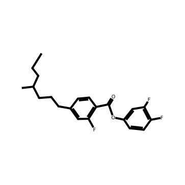 CCCC(C)CCCc1ccc(C(=O)Oc2ccc(F)c(F)c2)c(F)c1